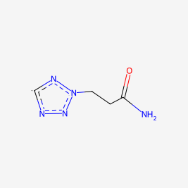 NC(=O)CCn1n[c]nn1